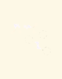 NC(=O)OCc1ccc(N=Nc2ccccc2)cc1.NC(=O)Oc1ccccc1